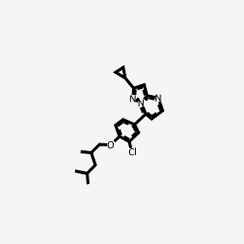 CC(C)CC(C)COc1ccc(-c2ccnc3cc(C4CC4)nn23)cc1Cl